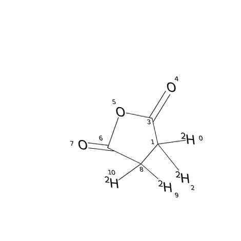 [2H]C1([2H])C(=O)OC(=O)C1([2H])[2H]